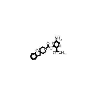 CC(=O)c1ncc(N)nc1OC(=O)N1CCC2(CC1)Cc1ccccc1O2